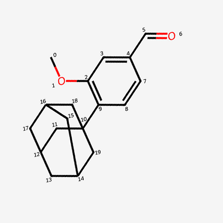 COc1cc(C=O)ccc1C12CC3CC(CC(C3)C1)C2